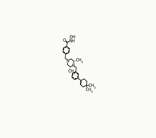 C[C@@H]1CN(Cc2ccc(C(=O)NO)cc2)C[C@H](C)N1Cc1cccc(C2=CCC(C)(C)CC2)c1